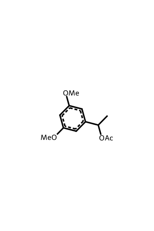 COc1cc(OC)cc(C(C)OC(C)=O)c1